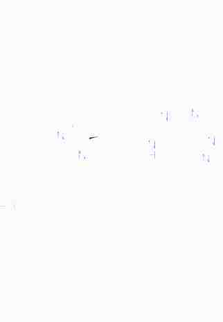 Cc1ccc(-c2noc([C@H]3CC[C@H](Nc4ncnc5[nH]ncc45)C3)n2)cc1